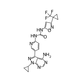 Nc1ncnc2c1c(-c1ccc(NC(=O)Nc3cc(C4(C(F)(F)F)CC4)no3)nc1)nn2C1CC1